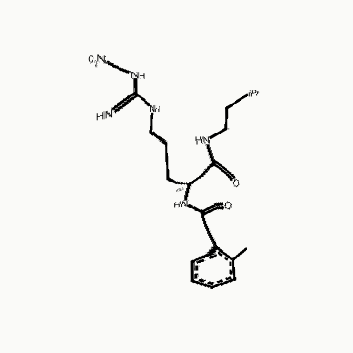 Cc1ccccc1C(=O)N[C@@H](CCCNC(=N)N[N+](=O)[O-])C(=O)N[CH]CC(C)C